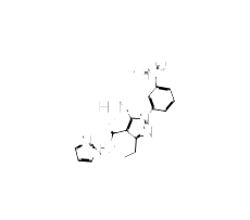 CCc1nn(-c2cccc([N+](=O)[O-])c2)c(N)c1C(=O)On1cccn1